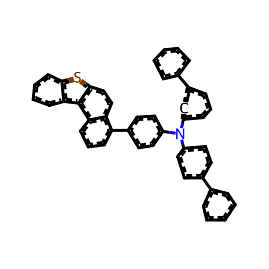 c1ccc(-c2ccc(N(c3ccc(-c4cccc5c4ccc4sc6ccccc6c45)cc3)c3cccc(-c4ccccc4)c3)cc2)cc1